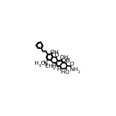 CN(C)c1cc(/C=C/c2ccccc2)c(O)c2c1C[C@H]1C[C@H]3CC(O)C(C(N)=O)C(=O)[C@@]3(O)C(O)=C1C2=O